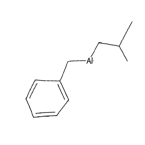 CC(C)[CH2][Al][CH2]c1ccccc1